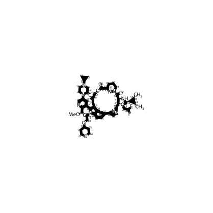 CO[C@@H](C)c1ncc(N2CCN(C3CC3)CC2)cc1-c1c2c3cc(ccc3n1CCOC1CCOCC1)-c1csc(n1)[C@@H](OCC(F)F)[C@H](NC(=O)[C@H]1[C@H](C)[C@@H]1C)C(=O)N1CCC[C@H](N1)C(=O)OCC(C)(C)C2